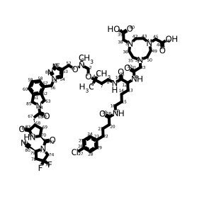 CN(COC(C)(C)CCNC(=O)C(CCCCNC(=O)CCCc1ccc(Cl)cc1)NC(=O)CN1CCN(CC(=O)O)CCN(CC(=O)O)CC1)OCc1cn(Cc2cccc3c2CN(C(=O)C[C@@H]2C[C@@H](C(=O)N4CC(F)(F)C[C@H]4C#N)NC2=O)C3)nn1